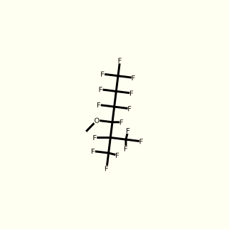 COC(F)(C(F)(F)C(F)(F)C(F)(F)F)C(F)(C(F)(F)F)C(F)(F)F